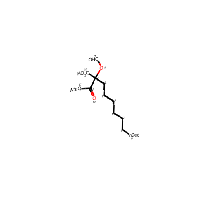 CCCCCCCCCCCCCCCCC(OC=O)(C(=O)O)C(=O)OC